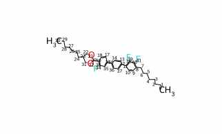 CCCCCCCCc1ccc(-c2ccc(-c3ccc(C4OCC(CCCCCCC)CO4)c(F)c3)cc2)c(F)c1F